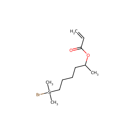 C=CC(=O)OC(C)CCCC[Si](C)(C)Br